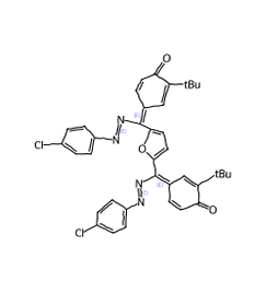 CC(C)(C)C1=C/C(=C(/N=N/c2ccc(Cl)cc2)c2ccc(C(/N=N/c3ccc(Cl)cc3)=C3/C=CC(=O)C(C(C)(C)C)=C3)o2)C=CC1=O